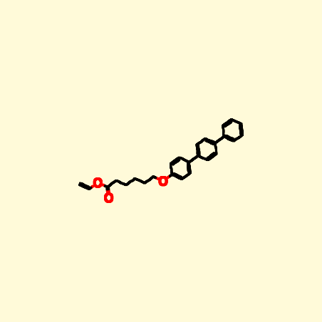 C=COC(=O)CCCCCOc1ccc(-c2ccc(-c3ccccc3)cc2)cc1